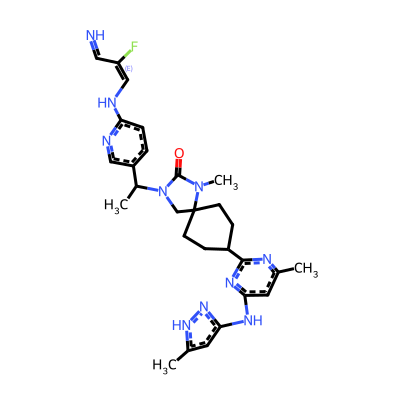 Cc1cc(Nc2cc(C)[nH]n2)nc(C2CCC3(CC2)CN(C(C)c2ccc(N/C=C(/F)C=N)nc2)C(=O)N3C)n1